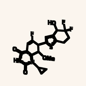 COC1c2c(c(=O)[nH]c(=O)n2C2CC2)C=C(F)C1c1cc2c(s1)CCC(F)(F)C2O